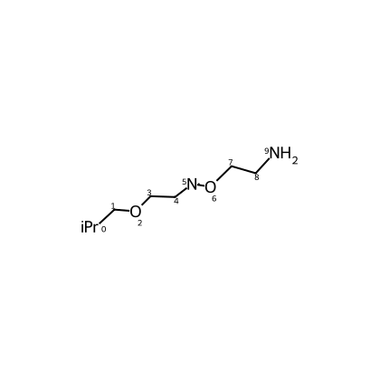 CC(C)COCC[N]OCCN